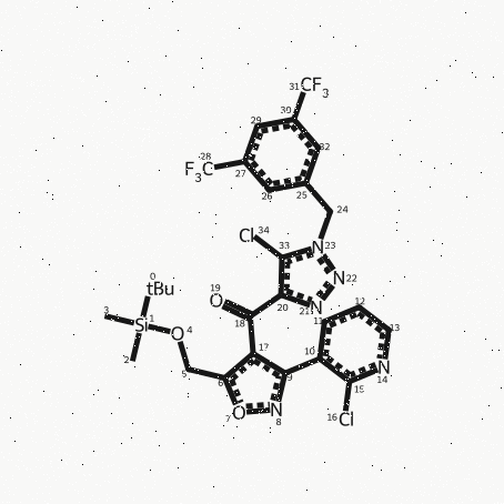 CC(C)(C)[Si](C)(C)OCc1onc(-c2cccnc2Cl)c1C(=O)c1nnn(Cc2cc(C(F)(F)F)cc(C(F)(F)F)c2)c1Cl